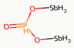 O=[PH]([O][SbH2])[O][SbH2]